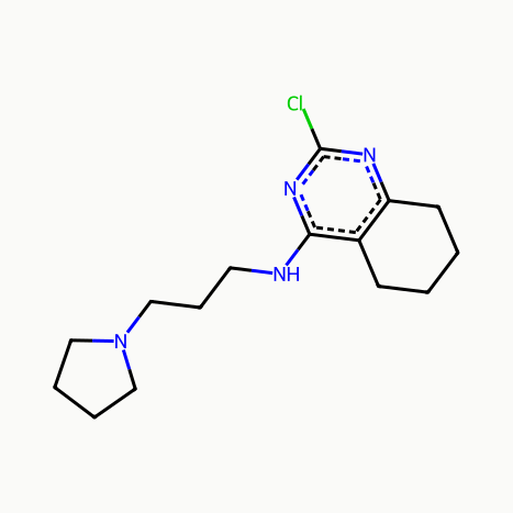 Clc1nc2c(c(NCCCN3CCCC3)n1)CCCC2